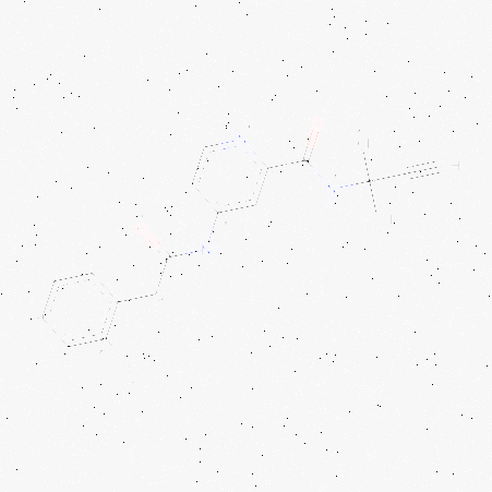 C#CC(C)(C)NC(=O)c1cc(NC(=O)Cc2ccccc2F)ccn1